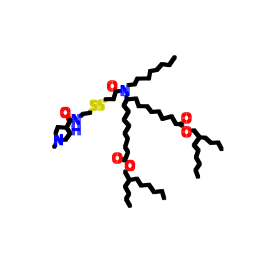 CCCCCCCCCN(C(=O)CCSSCCNC(=O)C1CCN(C)CC1)C(CCCCCCCCC(=O)OCC(CCCC)CCCCCC)CCCCCCCCC(=O)OCC(CCCC)CCCCCC